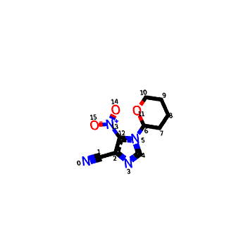 N#Cc1ncn(C2CCCCO2)c1[N+](=O)[O-]